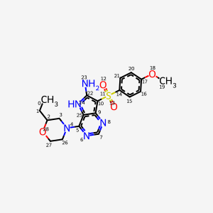 CCC1CN(c2ncnc3c(S(=O)(=O)c4ccc(OC)cc4)c(N)[nH]c23)CCO1